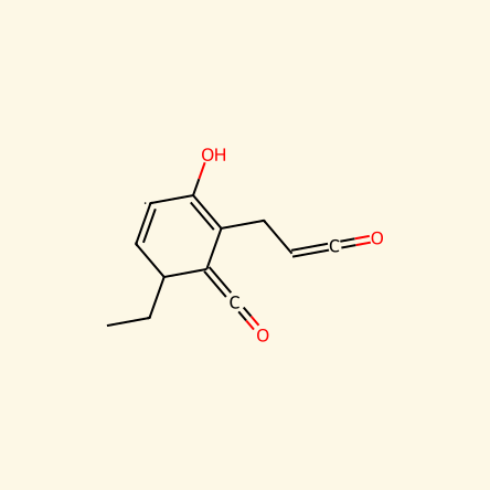 CCC1C=[C]C(O)=C(CC=C=O)C1=C=O